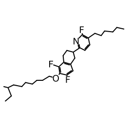 CCCCCCc1ccc(C2CCc3c(cc(F)c(OCCCCCCCC(C)CC)c3F)C2)nc1F